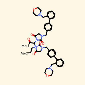 COCC[N+]1(C(C(=O)OC)N2C(=O)CN(Cc3ccc(-c4ccccc4CN4CCOCC4)cc3)C2=O)C(=O)CN(Cc2ccc(-c3ccccc3CN3CCOCC3)cc2)C1=O